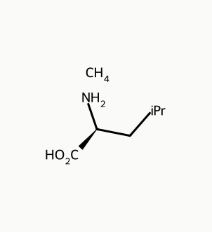 C.CC(C)C[C@H](N)C(=O)O